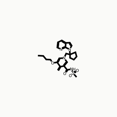 C=C1C(OCCCC)=CN(CC2(n3ccc4cccnc43)CCCC2)C=C1C(=O)NS(C)(=O)=O